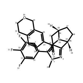 Cn1nc2c(c1-c1cc(F)c(F)c(F)c1)C[C@@H]1CC[C@H]2N1C(=O)c1ccc2c(c1)COCC2